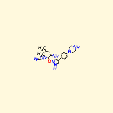 CC(C)C[C@H](Nc1n[nH]cc1-c1ccc(N2CCNCC2)cc1)C(=O)NCC#N